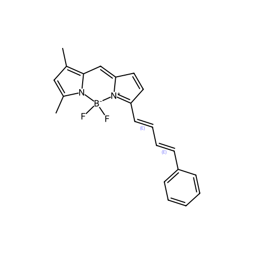 Cc1cc(C)n2c1C=C1C=CC(/C=C/C=C/c3ccccc3)=[N+]1[B-]2(F)F